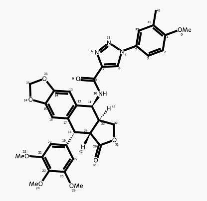 COc1ccc(-n2cc(C(=O)N[C@@H]3c4cc5c(cc4[C@@H](c4cc(OC)c(OC)c(OC)c4)[C@H]4C(=O)OC[C@@H]43)OCO5)nn2)cc1C